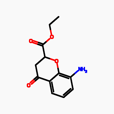 CCOC(=O)C1CC(=O)c2cccc(N)c2O1